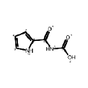 O=C(O)NC(=O)c1ccc[nH]1